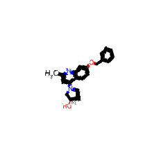 Cc1cc(N2CC[C@H](O)C2)c2ccc(OCc3ccccc3)cc2n1